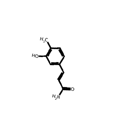 Cc1ccc(C=CC(N)=O)cc1O